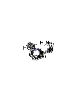 CC[C@H]1OC(=O)[C@H](C)C(=O)[C@H](C)[C@@H](O[C@@H]2O[C@H](C)CC(N(C)C)C2O)/C(C)=C/CN(C)[C@H](C)[C@H]2N(CCCCn3cc(-c4cccc(N)c4)nn3)C(=O)O[C@]12C